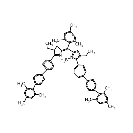 Bn1c(/C(=C2/CC(CC)C(c3ccc(-c4ccc(-c5c(C)cc(C)cc5C)cc4)cc3)=N2)c2c(C)cc(C)cc2C)cc(CC)c1C1=CCC=C(c2ccc(-c3c(C)cc(C)cc3C)cc2)C=C1